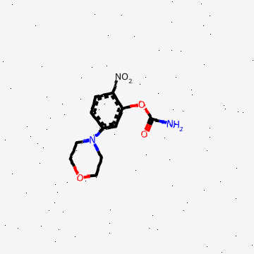 NC(=O)Oc1cc(N2CCOCC2)ccc1[N+](=O)[O-]